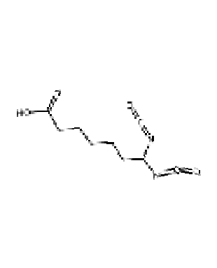 O=C=NC(CCCCCC(=O)O)N=C=O